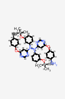 CC(C)(C)[Si](C)(C)Oc1cccc(N(c2cc(Oc3ccc(N)cc3)ncn2)N(c2cccc(O[Si](C)(C)C(C)(C)C)c2)c2cc(Oc3ccc([N+](=O)[O-])cc3)ncn2)c1